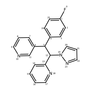 Fc1ccc(C(c2cccnc2)C(c2ccccn2)n2cccn2)cc1